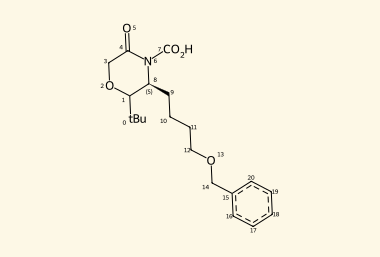 CC(C)(C)C1OCC(=O)N(C(=O)O)[C@H]1CCCCOCc1ccccc1